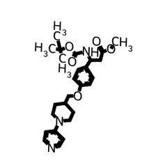 COC(=O)CC(NC(=O)OC(C)(C)C)c1ccc(OCC2CCN(c3ccncc3)CC2)cc1